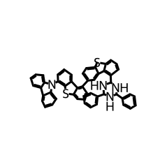 c1ccc(C2NC(c3ccccc3)NC(c3cccc4sc5ccc(-c6cccc7sc8c(-n9c%10ccccc%10c%10ccccc%109)cccc8c67)cc5c34)N2)cc1